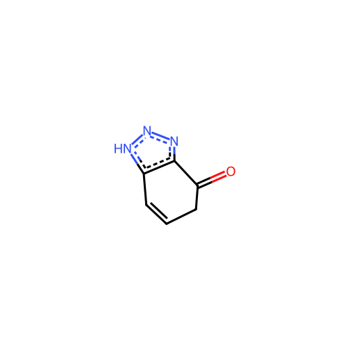 O=C1CC=Cc2[nH]nnc21